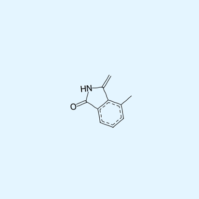 C=C1NC(=O)c2cccc(C)c21